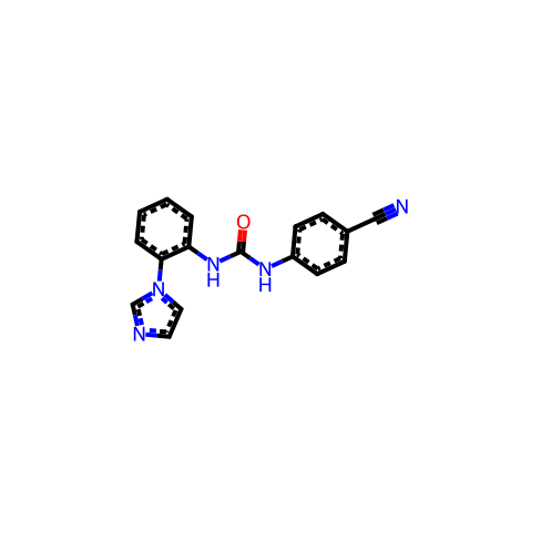 N#Cc1ccc(NC(=O)Nc2ccccc2-n2ccnc2)cc1